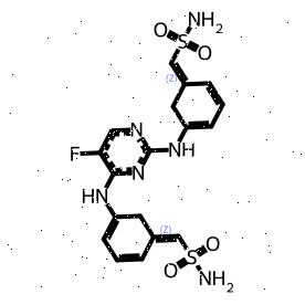 NS(=O)(=O)/C=C1\C=CC=C(Nc2ncc(F)c(NC3=CC=C/C(=C\S(N)(=O)=O)C3)n2)C1